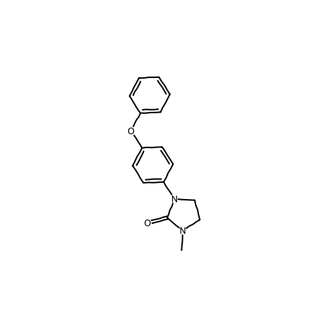 CN1CCN(c2ccc(Oc3ccccc3)cc2)C1=O